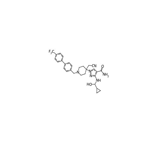 N#CCC1(n2cc(C(N)=O)c(NC(O)C3CC3)n2)CCN(Cc2ccc(-c3ccc(C(F)(F)F)cc3)cc2)CC1